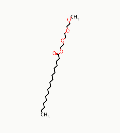 CCCCCCCCCCCCCCCCCC(=O)OCCOCCOCCOC